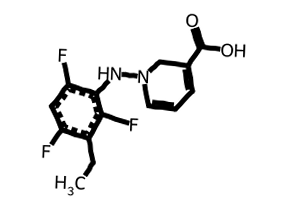 CCc1c(F)cc(F)c(NN2C=CC=C(C(=O)O)C2)c1F